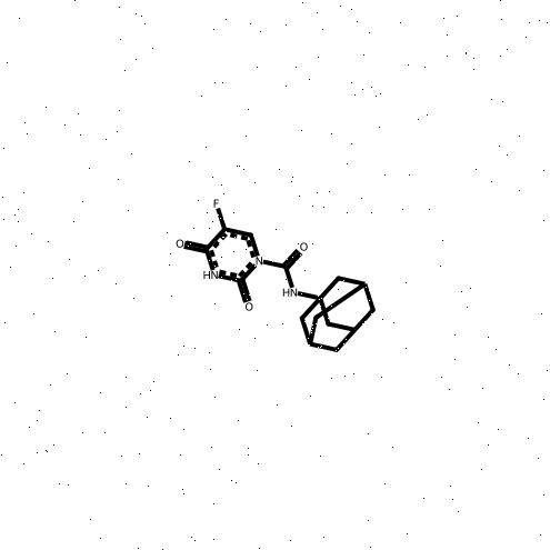 O=C(NC12CC3CC(CC(C3)C1)C2)n1cc(F)c(=O)[nH]c1=O